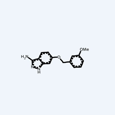 COc1cccc(COc2ccc3c(N)n[nH]c3c2)c1